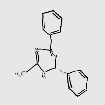 CC1=NC(c2ccccc2)=N[C@H](c2ccccc2)N1